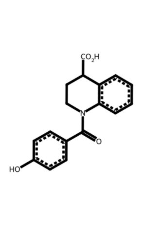 O=C(O)C1CCN(C(=O)c2ccc(O)cc2)c2ccccc21